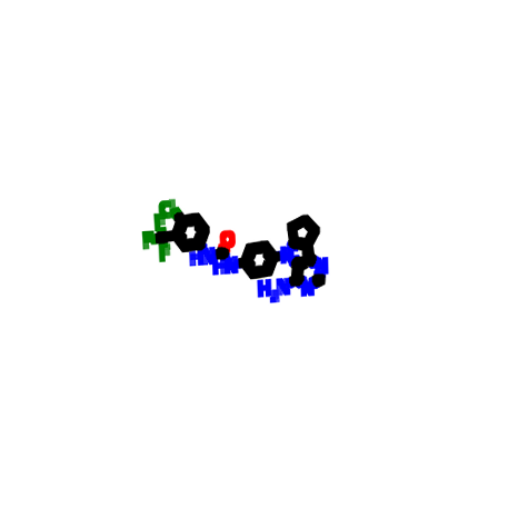 Nc1ncnc2c3c(n(-c4ccc(NC(=O)Nc5ccc(Cl)c(C(F)(F)F)c5)cc4)c12)CCC3